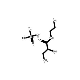 CCC(O)C(=O)NCCO.O=P(O)(O)O